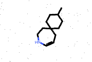 CC1CCC2(CC=CNCC2)CC1